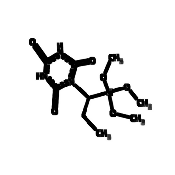 CCC(n1c(=O)[nH]c(=O)[nH]c1=O)[Si](OC)(OC)OC